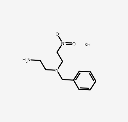 NCCN(CC[N+](=O)[O-])Cc1ccccc1.[KH]